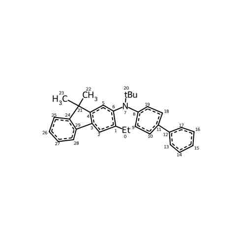 CCc1cc2c(cc1N(c1ccc(-c3ccccc3)cc1)C(C)(C)C)C(C)(C)c1ccccc1-2